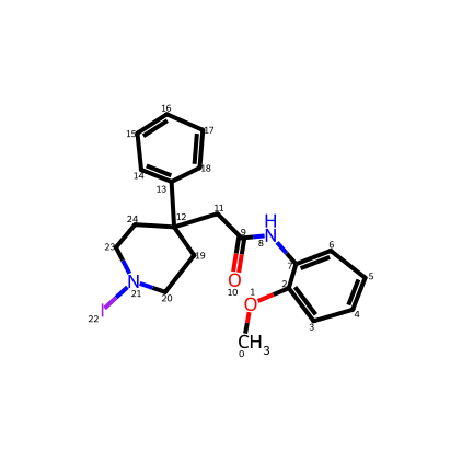 COc1ccccc1NC(=O)CC1(c2ccccc2)CCN(I)CC1